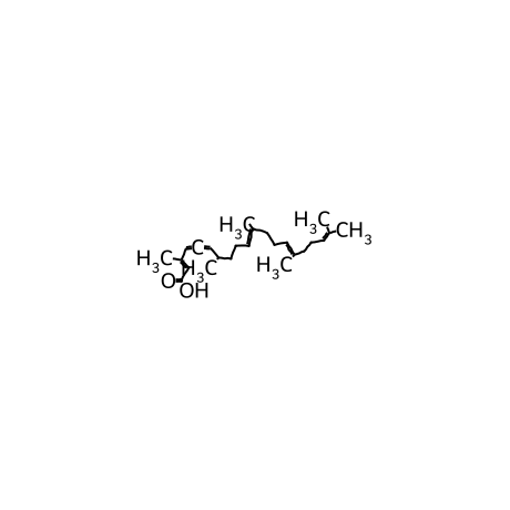 CC(C)=CCCC(C)=CCCC(C)=CCCC(C)C=C=CC(C)=CC(=O)O